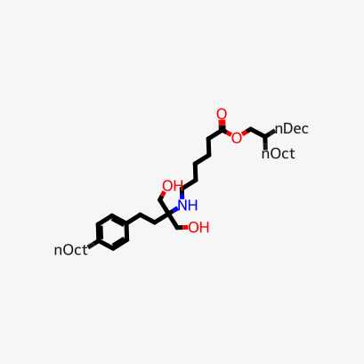 CCCCCCCCCCC(CCCCCCCC)COC(=O)CCCCCNC(CO)(CO)CCc1ccc(CCCCCCCC)cc1